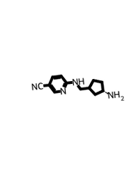 N#Cc1ccc(NCC2CC[C@H](N)C2)nc1